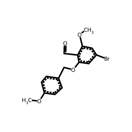 COc1ccc(COc2cc(Br)cc(OC)c2C=O)cc1